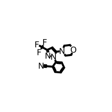 N#Cc1ccccc1-n1nc(C(F)(F)F)cc1N1CCOCC1